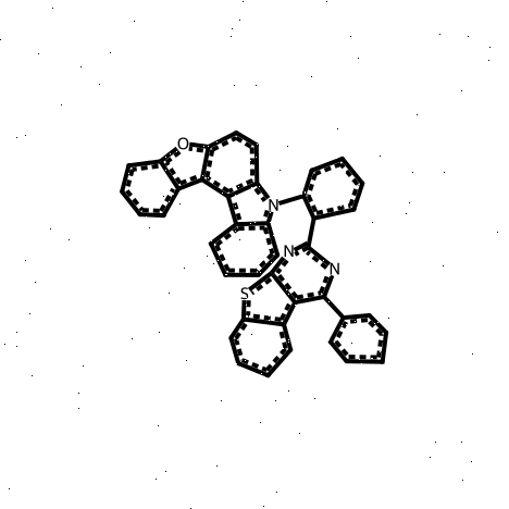 c1ccc(-c2nc(-c3ccccc3-n3c4ccccc4c4c5c(ccc43)oc3ccccc35)nc3sc4ccccc4c23)cc1